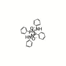 [O-][N+]1(Nc2ccccc2)P(c2ccccc2)[N+]([O-])(Nc2ccccc2)P1c1ccccc1